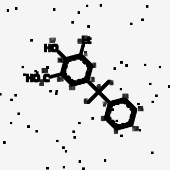 CCc1cc(C(C)(C)c2ccccc2)cc(C(=O)O)c1O